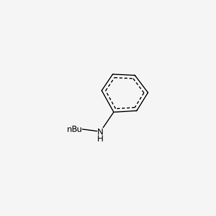 [CH2]CCCNc1ccccc1